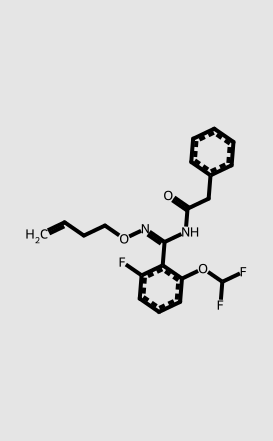 C=CCCON=C(NC(=O)Cc1ccccc1)c1c(F)cccc1OC(F)F